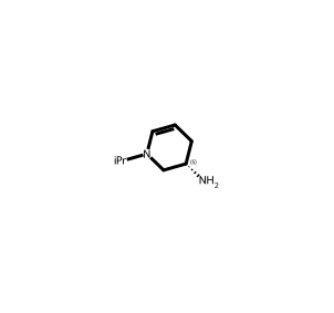 CC(C)N1C=CC[C@H](N)C1